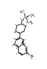 CC(C)(C)[Si](C)(C)OC1CCN(c2cnc3ccc(O)cc3c2)CC1